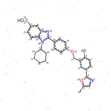 Cc1cnc(-c2ccc(Br)c(COc3ccc(-c4nc5cc(C(=O)O)ccc5n4C4CCCCC4)cc3)c2)o1